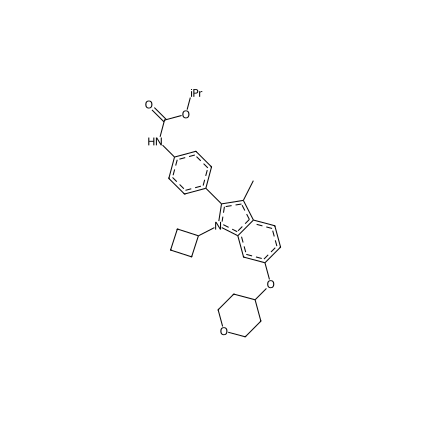 Cc1c(-c2ccc(NC(=O)OC(C)C)cc2)n(C2CCC2)c2cc(OC3CCOCC3)ccc12